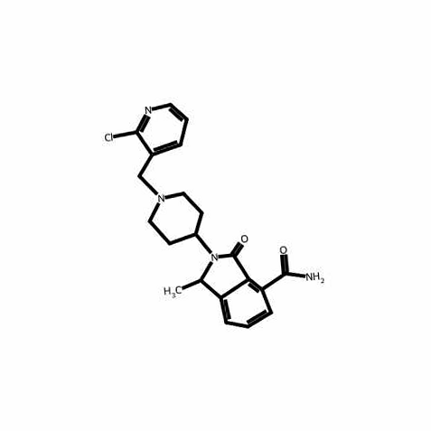 CC1c2cccc(C(N)=O)c2C(=O)N1C1CCN(Cc2cccnc2Cl)CC1